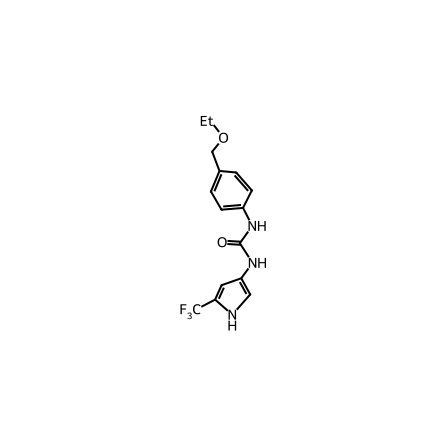 CCOCc1ccc(NC(=O)Nc2c[nH]c(C(F)(F)F)c2)cc1